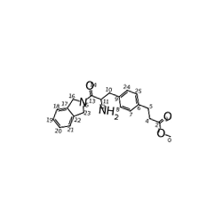 COC(=O)CCc1ccc(CC(N)C(=O)N2Cc3ccccc3C2)cc1